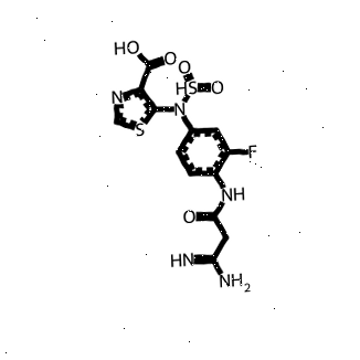 N=C(N)CC(=O)Nc1ccc(N(c2scnc2C(=O)O)[SH](=O)=O)cc1F